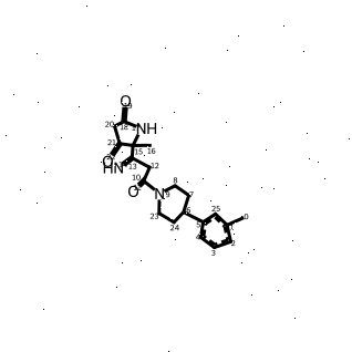 Cc1cccc(C2CCN(C(=O)CC(=N)C3(C)NC(=O)CC3=O)CC2)c1